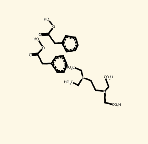 O=C(Cc1ccccc1)OO.O=C(Cc1ccccc1)OO.O=C(O)CN(CCN(CC(=O)O)CC(=O)O)CC(=O)O